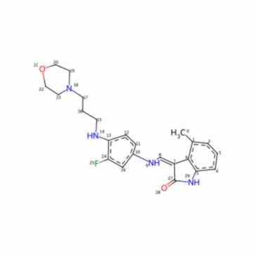 Cc1cccc2c1C(=CNc1ccc(NCCCN3CCOCC3)c(F)c1)C(=O)N2